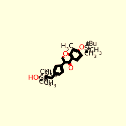 Cc1c(O[Si](C)(C)C(C)(C)C)ccc2c1OCC(c1ccc(CC(C)(C)[Si](C)(C)O)cc1)C2=O